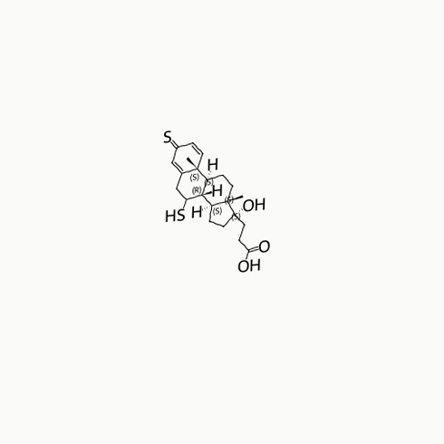 C[C@]12C=CC(=S)C=C1CC(S)[C@@H]1[C@@H]2CC[C@@]2(C)[C@H]1CC[C@]2(O)CCC(=O)O